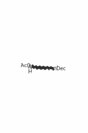 CCCCCCCCCCCCCCCCCCCCCCNOC(C)=O